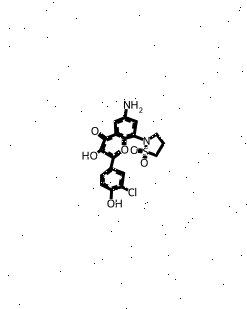 Nc1cc(N2CCCS2(=O)=O)c2oc(-c3ccc(O)c(Cl)c3)c(O)c(=O)c2c1